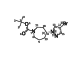 CC(C)(C)OC(=O)N1CCC[C@@H](n2cc(Br)cn2)CC1